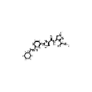 CN1CC(NC(=O)c2coc(-c3ccnc(NCC4CCCCC4)c3)n2)C(C(N)=O)=N1